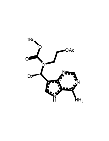 CC[C@H](c1c[nH]c2c(N)ncnc12)N(CCOC(C)=O)C(=O)OC(C)(C)C